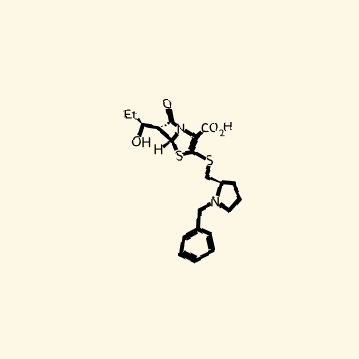 CC[C@H](O)[C@@H]1C(=O)N2C(C(=O)O)=C(SC[C@H]3CCCN3Cc3ccccc3)S[C@H]12